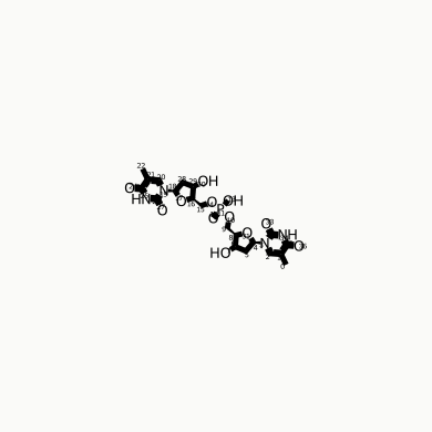 Cc1cn([C@H]2CC(O)[C@@H](COP(=O)(O)OC[C@H]3O[C@@H](n4cc(C)c(=O)[nH]c4=O)CC3O)O2)c(=O)[nH]c1=O